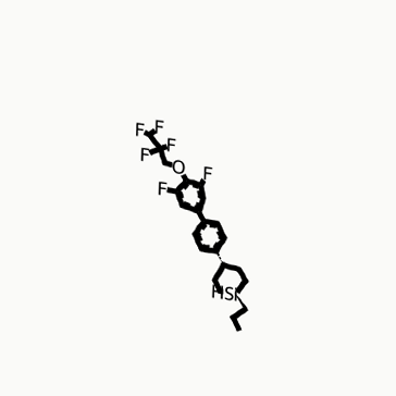 CCC[Si@H]1CC[C@H](c2ccc(-c3cc(F)c(OCC(F)(F)C(F)F)c(F)c3)cc2)CC1